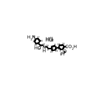 CC(C)Oc1cc(-c2ccc(CCNC[C@H](O)c3ccc(N)cc3)cc2)ccc1C(=O)O.Cl.Cl